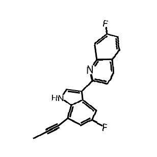 CC#Cc1cc(F)cc2c(-c3ccc4ccc(F)cc4n3)c[nH]c12